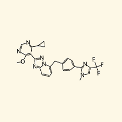 COc1ncnc(C2CC2)c1-c1nc2cccc(Cc3ccc(-c4nc(C(F)(F)F)cn4C)cc3)n2n1